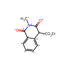 CCOC(=O)C1C(=O)N(C)C(=O)c2ccccc21